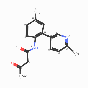 COC(=O)CC(=O)Nc1ccc(C(F)(F)F)cc1-c1ccc(C(F)(F)F)nc1